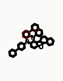 c1ccc(-c2ccc(N(c3ccccc3)c3ccc4oc5c6ccccc6ccc5c4c3N(c3ccccc3)c3ccccc3-c3ccccc3)cc2)cc1